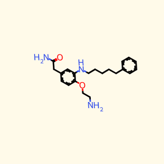 NCCOc1ccc(CC(N)=O)cc1NCCCCCc1ccccc1